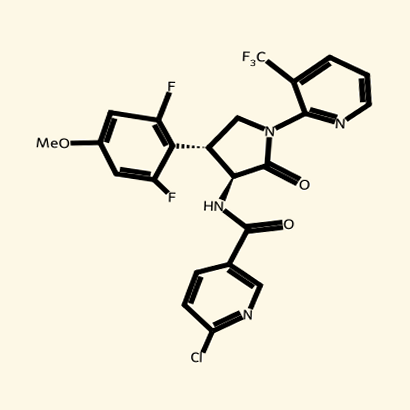 COc1cc(F)c([C@@H]2CN(c3ncccc3C(F)(F)F)C(=O)[C@H]2NC(=O)c2ccc(Cl)nc2)c(F)c1